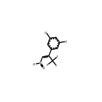 O=[N+]([O-])/C=C(/c1cc(Cl)cc(Cl)c1)C(F)(F)F